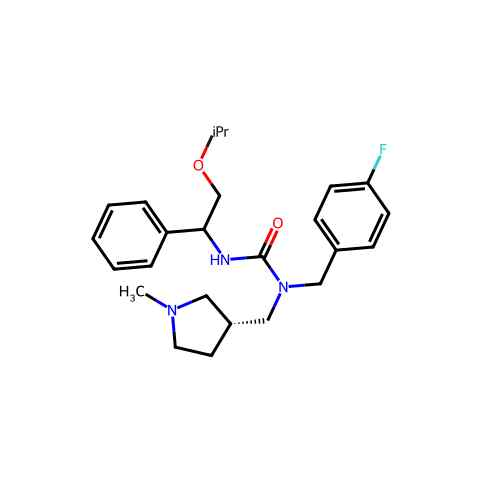 CC(C)OCC(NC(=O)N(Cc1ccc(F)cc1)C[C@@H]1CCN(C)C1)c1ccccc1